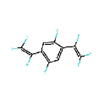 FC(F)=C(F)c1cc(F)c(C(F)=C(F)F)cc1F